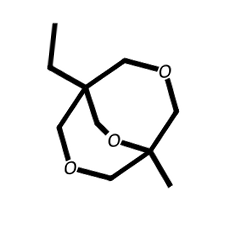 CCC12COCC(C)(COC1)OC2